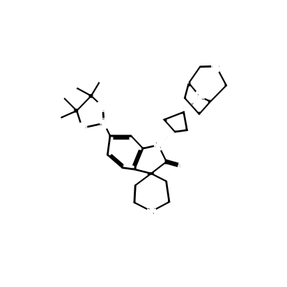 CC1(C)OB(c2ccc3c(c2)N([C@H]2C[C@@H](N4C5CCC4COC5)C2)C(=O)C32CCNCC2)OC1(C)C